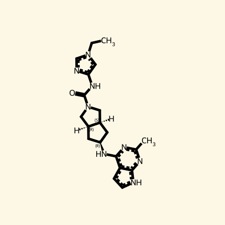 CCn1cnc(NC(=O)N2C[C@H]3C[C@@H](Nc4nc(C)nc5[nH]ccc45)C[C@H]3C2)c1